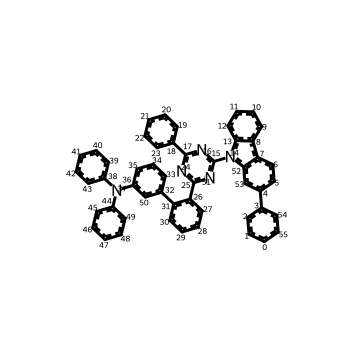 c1ccc(-c2ccc3c4ccccc4n(-c4nc(-c5ccccc5)nc(-c5ccccc5-c5cccc(N(c6ccccc6)c6ccccc6)c5)n4)c3c2)cc1